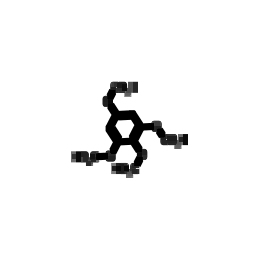 O=C(O)Oc1cc(OC(=O)O)c(OC(=O)O)c(OC(=O)O)c1